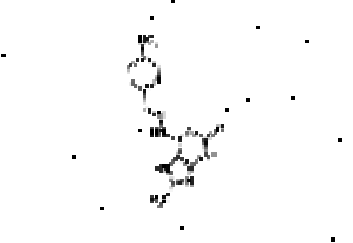 Cc1nc2[nH]c(=O)nc(N/N=C/c3ccc([N+](=O)[O-])cc3)c2[nH]1